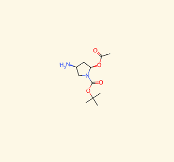 CC(=O)O[C@@H]1C[C@H](N)CN1C(=O)OC(C)(C)C